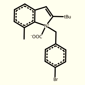 Cc1cccc2c1[N+](Cc1ccc(Br)cc1)(C(=O)[O-])C(C(C)(C)C)=C2